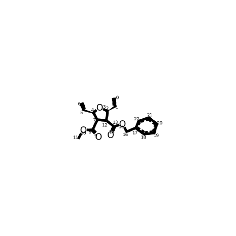 C=C[C@@H]1O[C@H](C=C)C(C(=O)OC)C1C(=O)OCc1ccccc1